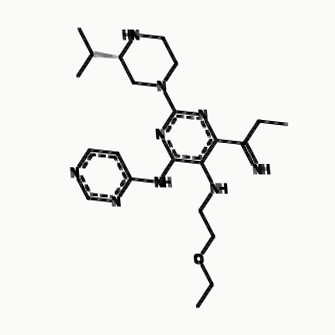 CCOCCNc1c(Nc2ccncn2)nc(N2CCN[C@@H](C(C)C)C2)nc1C(=N)CC